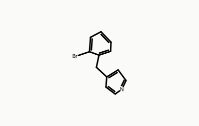 Brc1ccccc1Cc1ccncc1